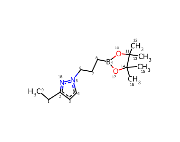 CCc1ccn(CCCB2OC(C)(C)C(C)(C)O2)n1